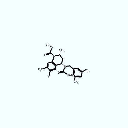 COC(=O)N(Cc1cc(C(F)(F)F)cc(C(F)(F)F)c1)[C@H]1C[C@@H](C)N(C(=O)OC(C)C)c2cc(C(F)(F)F)c(Cl)cc21